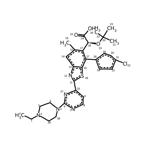 CCN1CCN(c2nccc(-c3nc4cc(C)c([C@H](OC(C)(C)C)C(=O)O)c(-c5ccc(Cl)cc5)c4s3)n2)CC1